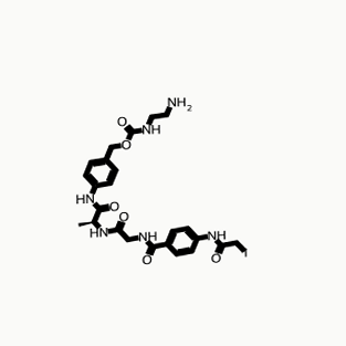 C[C@H](NC(=O)CNC(=O)c1ccc(NC(=O)CI)cc1)C(=O)Nc1ccc(COC(=O)NCCN)cc1